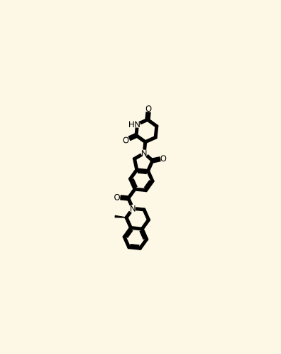 C[C@@H]1c2ccccc2CCN1C(=O)c1ccc2c(c1)CN(C1CCC(=O)NC1=O)C2=O